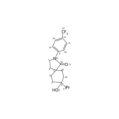 CC(C)C1(O)CCC2(CCN(c3ccc(C(F)(F)F)cc3)C2=O)CC1